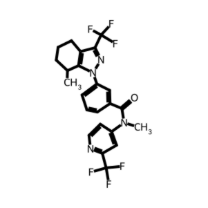 CC1CCCc2c(C(F)(F)F)nn(-c3cccc(C(=O)N(C)c4ccnc(C(F)(F)F)c4)c3)c21